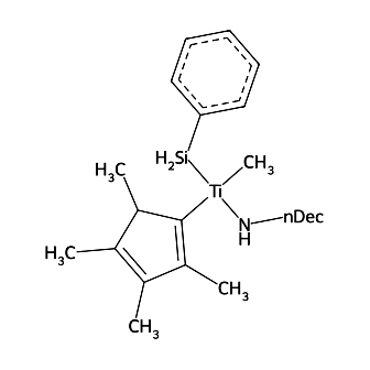 CCCCCCCCCC[NH][Ti]([CH3])([SiH2]c1ccccc1)[C]1=C(C)C(C)=C(C)C1C